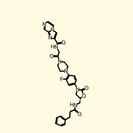 O=C(CCc1ccccc1)NC[C@H]1CN(c2ccc(N3CCN(C(=O)CNC(=O)c4cn5ccncc5n4)CC3)c(F)c2)C(=O)O1